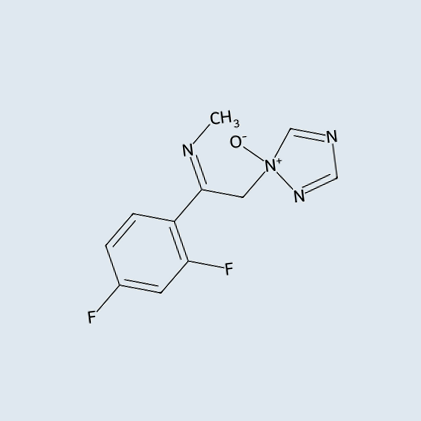 CN=C(C[N+]1([O-])C=NC=N1)c1ccc(F)cc1F